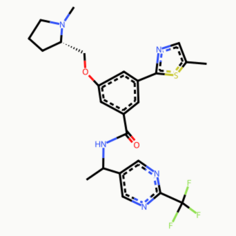 Cc1cnc(-c2cc(OC[C@@H]3CCCN3C)cc(C(=O)NC(C)c3cnc(C(F)(F)F)nc3)c2)s1